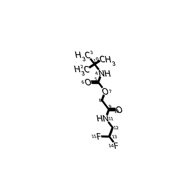 CC(C)(C)NC(=O)OCC(=O)NCC(F)F